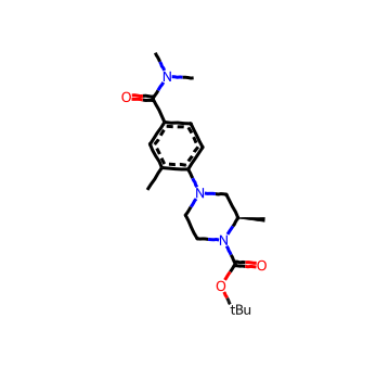 Cc1cc(C(=O)N(C)C)ccc1N1CCN(C(=O)OC(C)(C)C)[C@H](C)C1